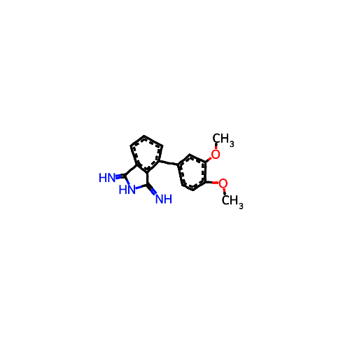 COc1ccc(-c2cccc3c2C(=N)NC3=N)cc1OC